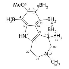 Bc1c(OC)c(B)c2[nH]c3c(c2c1B)C(B)(B)CN(C)CC3